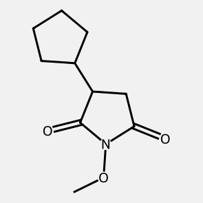 CON1C(=O)CC(C2CCCC2)C1=O